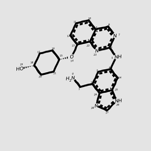 NCc1cc(Nc2ncc3cccc(O[C@H]4CC[C@@H](O)CC4)c3n2)cc2[nH]cnc12